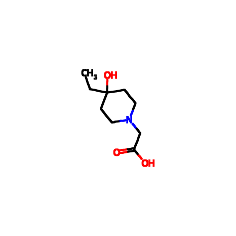 CCC1(O)CCN(CC(=O)O)CC1